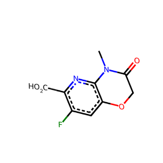 CN1C(=O)COc2cc(F)c(C(=O)O)nc21